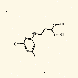 CCOC(CCNc1cc(C)nc(Cl)n1)OCC